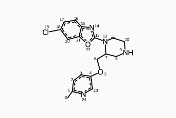 Cc1ccc(OCC2CNCCN2c2nc3ccc(Cl)cc3o2)cn1